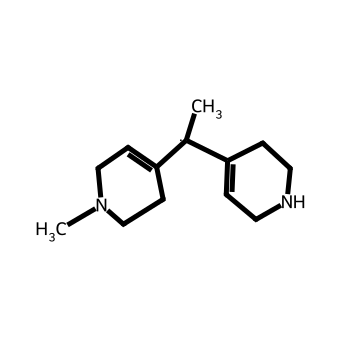 C[C](C1=CCNCC1)C1=CCN(C)CC1